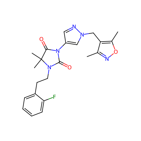 Cc1noc(C)c1Cn1cc(N2C(=O)N(CCc3ccccc3F)C(C)(C)C2=O)cn1